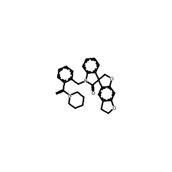 C=C(c1ccccc1CN1C(=O)C2(COc3cc4c(cc32)CCO4)c2ccccc21)N1CCCCC1